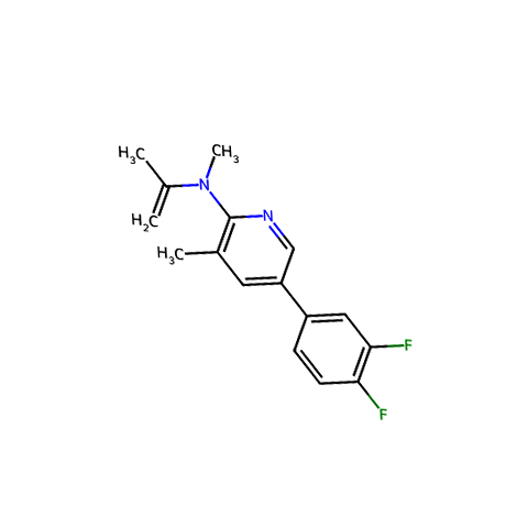 C=C(C)N(C)c1ncc(-c2ccc(F)c(F)c2)cc1C